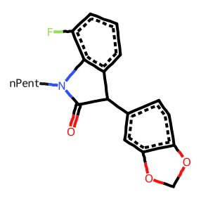 CCCCCN1C(=O)C(c2ccc3c(c2)OCO3)c2cccc(F)c21